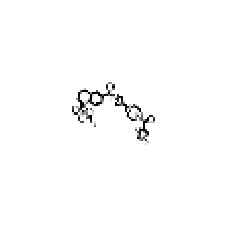 CS(=O)(=O)N1CCCc2cc(C(=O)N3CC(N4CCN(C(=O)c5cscn5)CC4)C3)ccc21